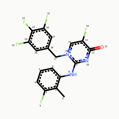 Cc1c(F)cccc1Nc1nc(=O)c(F)cn1Cc1cc(F)c(F)c(F)c1